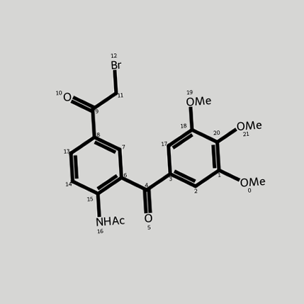 COc1cc(C(=O)c2cc(C(=O)CBr)ccc2NC(C)=O)cc(OC)c1OC